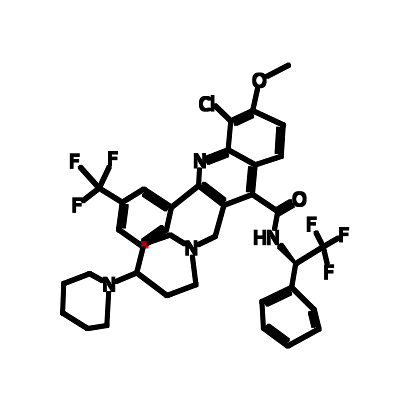 COc1ccc2c(C(=O)N[C@H](c3ccccc3)C(F)(F)F)c(CN3CCC(N4CCCCC4)CC3)c(-c3cccc(C(F)(F)F)c3)nc2c1Cl